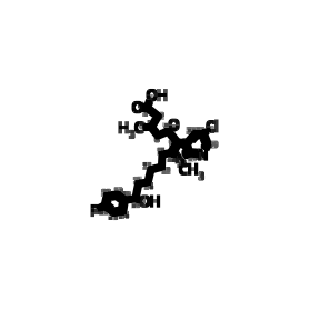 CC(CC(=O)O)CC(=O)c1c(CCCCCC(O)c2ccc(F)cc2)n(C)c2ncc(Cl)cc12